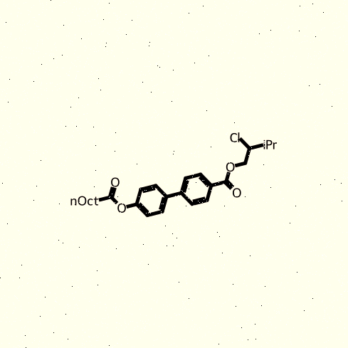 CCCCCCCCC(=O)Oc1ccc(-c2ccc(C(=O)OCC(Cl)C(C)C)cc2)cc1